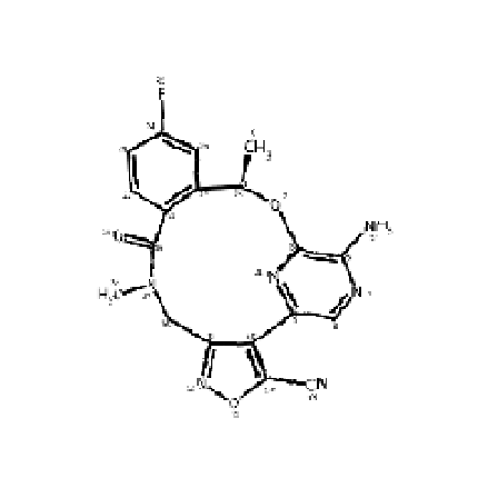 C[C@H]1Oc2nc(cnc2N)-c2c(noc2C#N)CN(C)C(=O)c2ccc(F)cc21